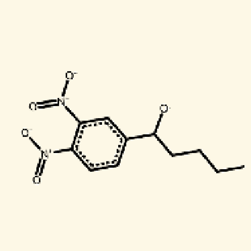 CCCCC([O])c1ccc([N+](=O)[O-])c([N+](=O)[O-])c1